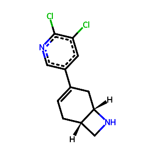 Clc1cc(C2=CC[C@H]3CN[C@H]3C2)cnc1Cl